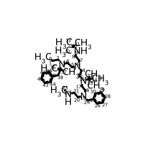 CCCN(CCN(CCNC(C)(C)C)CCN(CCN(CCNC)Cc1ccccc1)C(C)(C)C)C(C)(C)Cc1ccccc1